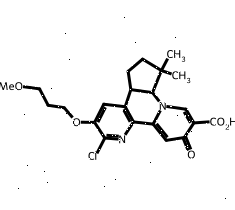 COCCCOc1cc2c(nc1Cl)-c1cc(=O)c(C(=O)O)cn1C1C2CCC1(C)C